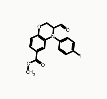 COC(=O)c1ccc2c(c1)N(c1ccc(I)cc1)C(C=O)CO2